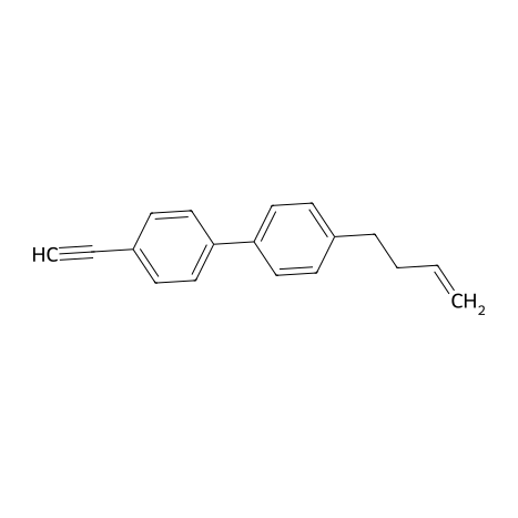 C#Cc1ccc(-c2ccc(CCC=C)cc2)cc1